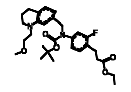 CCOC(=O)CCc1ccc(N(Cc2ccc3c(c2)N(CCOC)CCC3)C(=O)OC(C)(C)C)cc1F